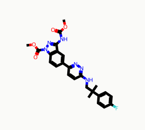 COC(=O)Nc1nn(C(=O)OC)c2ccc(-c3ccc(NCC(C)(C)c4ccc(F)cc4)nn3)cc12